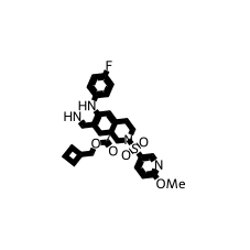 COc1ccc(S(=O)(=O)N2CCC3=CC(Nc4ccc(F)cc4)=C(C=N)C[C@]3(C(=O)OCC3CCC3)C2)cn1